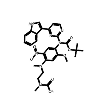 COc1cc(N(C)CCN(C)C(=O)O)c([N+](=O)[O-])cc1N(C(=O)OC(C)(C)C)c1nccc(-c2c[nH]c3ccccc23)n1